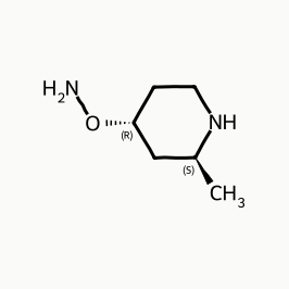 C[C@H]1C[C@H](ON)CCN1